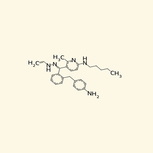 C=CN/N=C(\c1ccccc1Cc1ccc(N)cc1)c1ccc(NCCCCC)nc1C